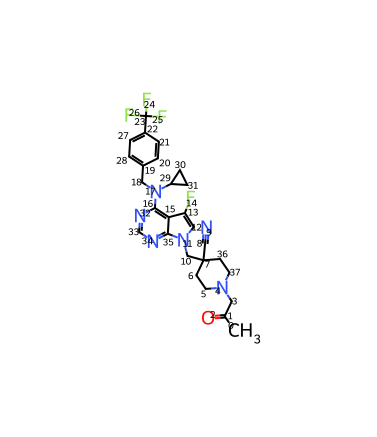 CC(=O)CN1CCC(C#N)(Cn2cc(F)c3c(N(Cc4ccc(C(F)(F)F)cc4)C4CC4)ncnc32)CC1